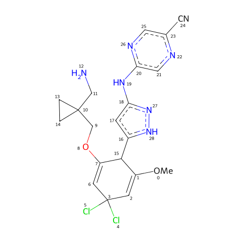 COC1=CC(Cl)(Cl)C=C(OCC2(CN)CC2)C1c1cc(Nc2cnc(C#N)cn2)n[nH]1